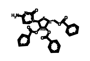 Nc1ccn(C2S[C@H](COC(=O)c3ccccc3)[C@@H](OC(=O)c3ccccc3)[C@H]2OC(=O)c2ccccc2)c(=O)n1